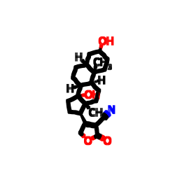 C[C@]12CC[C@H](O)C[C@H]1CC[C@@H]1[C@@H]2CC[C@]2(C)[C@@H](C3=C(C#N)C(=O)OC3)CC[C@]12O